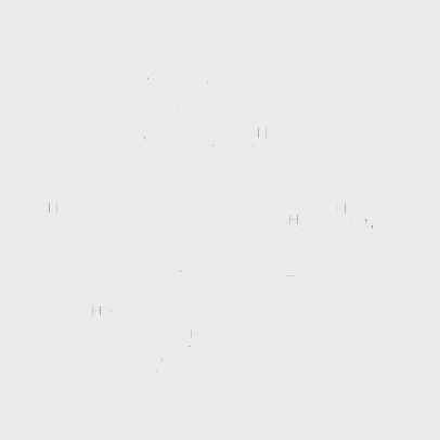 COc1cc(C(O)S(=O)(=O)[O-])cc(OC)c1C(C)C.O.O.O.[Na+]